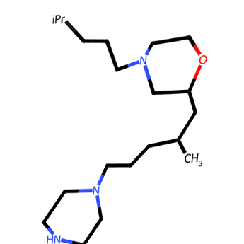 CC(C)CCCN1CCOC(CC(C)CCCN2CCNCC2)C1